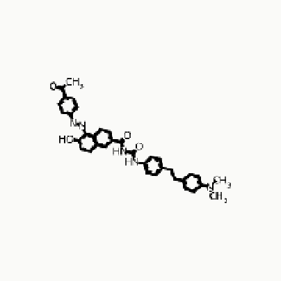 CC(=O)c1ccc(N=Nc2c(O)ccc3cc(C(=O)NC(=O)Nc4ccc(CCc5ccc(N(C)C)cc5)cc4)ccc23)cc1